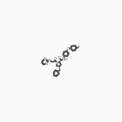 O=C(Nc1ccc(Oc2ccc(F)cc2)cc1)[C@H]1C[C@@H](Cc2ccccc2)CN1C(=O)CSc1ncccn1